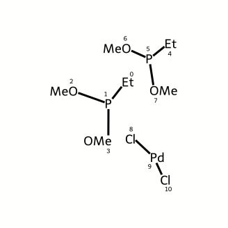 CCP(OC)OC.CCP(OC)OC.[Cl][Pd][Cl]